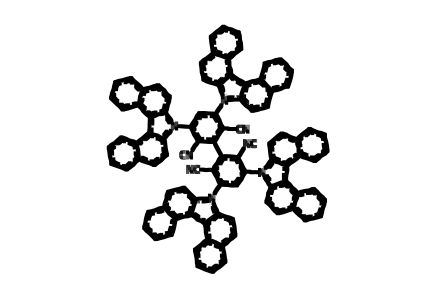 [C-]#[N+]c1c(-n2c3ccc4ccccc4c3c3c4ccccc4ccc32)cc(-n2c3ccc4ccccc4c3c3c4ccccc4ccc32)c(C#N)c1-c1c(C#N)c(-n2c3ccc4ccccc4c3c3c4ccccc4ccc32)cc(-n2c3ccc4ccccc4c3c3c4ccccc4ccc32)c1[N+]#[C-]